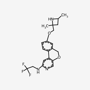 CC1CC(C)(COc2ccc3c(c2)COc2cnc(NCC(F)(F)F)cc2-3)N1